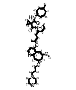 C\C=C/C(=C\C=C(/C)Oc1ccnc2c1C=C(OC)CC(OCCCN1CCOCC1)=C2)NC(=O)C1(C(=O)NC2=CC=C(C)CC=C2)CC1